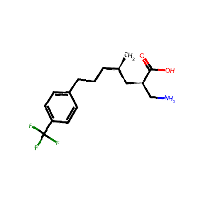 C[C@H](CCCc1ccc(C(F)(F)F)cc1)C[C@H](CN)C(=O)O